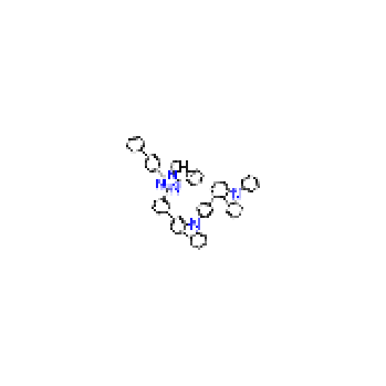 C=N/C(=N\C(=N/Cc1ccc(-c2ccccc2)cc1)c1cccc(-c2ccc3c4ccccc4n(-c4ccc(-c5cccc6c5c5c(n6-c6ccccc6)CCC=C5)cc4)c3c2)c1)c1ccccc1